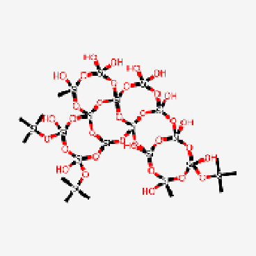 C[Si](C)(C)O[Si]1(O)O[Si](C)(O)O[Si]2(O)O[Si](O)(O1)O[Si]1(O)O[Si](O)(O)O[Si]34O[Si](O)(O)O[Si](C)(O)O[Si]5(O[Si](C)(O[Si](O)(O[Si](C)(C)C)O[Si](O)(O[Si](C)(C)C)O5)O[Si](O2)(O1)O3)O4